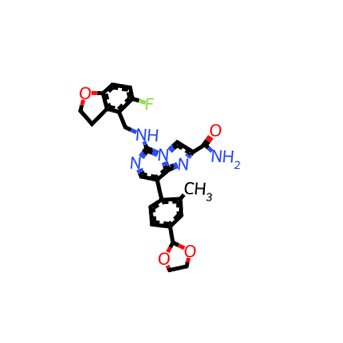 Cc1cc(C2OCCO2)ccc1-c1cnc(NCc2c(F)ccc3c2CCO3)n2cc(C(N)=O)nc12